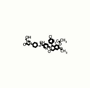 COc1cc2c(cc1OC(C)C)[C@H](c1ccc(Cl)cc1)N(c1ccc(N(C)C[C@H]3CC[C@H](N4CC(=O)N(CO)C4)CC3)cn1)C(=O)C2